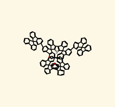 c1ccc2c(c1)-c1ccccc1C21c2ccccc2-c2ccc(-c3ccc4c(c3)C3(c5cc(-c6ccc7c(c6)C6(c8ccccc8-c8ccccc86)c6ccccc6-7)ccc5-4)c4ccccc4-c4c3sc3c4-c4ccccc4C34c3cc(-c5ccc6c(c5)C5(c7ccccc7-c7ccccc75)c5ccccc5-6)ccc3-c3ccc(-c5ccc6c(c5)C5(c7ccccc7-c7ccccc75)c5ccccc5-6)cc34)cc21